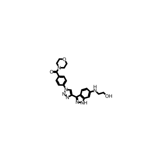 O=C(c1ccc(-n2cc(-c3n[nH]c4cc(NCCO)ccc34)nn2)cc1)N1CCOCC1